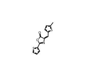 Cc1ccc(C=C2N=C(c3cccs3)OC2=O)s1